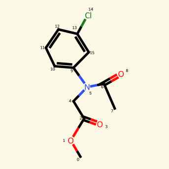 COC(=O)CN(C(C)=O)c1cccc(Cl)c1